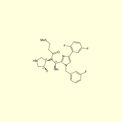 CSCCC(=O)N([C@@H]1CNC[C@@H]1F)[C@@H](c1nc(-c2cc(F)ccc2F)cn1Cc1cccc(F)c1)C(C)(C)C